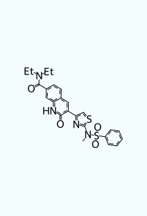 CCN(CC)C(=O)c1ccc2cc(-c3csc(N(C)S(=O)(=O)c4ccccc4)n3)c(=O)[nH]c2c1